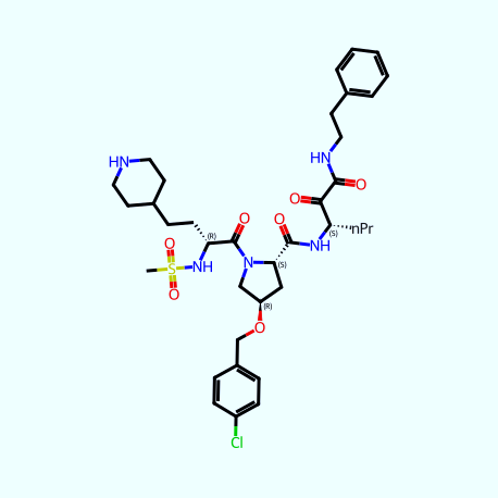 CCC[C@H](NC(=O)[C@@H]1C[C@@H](OCc2ccc(Cl)cc2)CN1C(=O)[C@@H](CCC1CCNCC1)NS(C)(=O)=O)C(=O)C(=O)NCCc1ccccc1